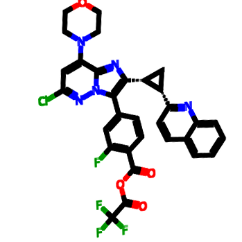 O=C(OC(=O)C(F)(F)F)c1ccc(-c2c([C@@H]3C[C@@H]3c3ccc4ccccc4n3)nc3c(N4CCOCC4)cc(Cl)nn23)cc1F